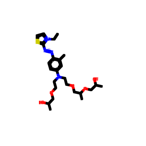 CC[n+]1ccsc1/N=N/c1ccc(N(CCOCC(C)O)CCOCC(C)OCC(C)O)cc1C